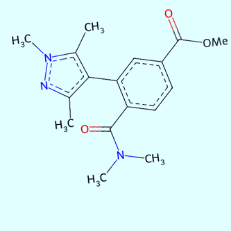 COC(=O)c1ccc(C(=O)N(C)C)c(-c2c(C)nn(C)c2C)c1